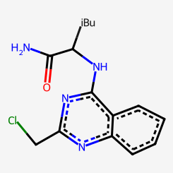 CCC(C)C(Nc1nc(CCl)nc2ccccc12)C(N)=O